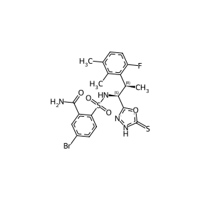 Cc1ccc(F)c([C@@H](C)[C@H](NS(=O)(=O)c2ccc(Br)cc2C(N)=O)c2n[nH]c(=S)o2)c1C